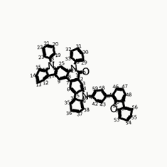 O=c1c2cc3c(cc2c2cc4c5ccccc5n(-c5ccccc5)c4cc2n1-c1ccccc1)c1ccccc1n3-c1ccc(-c2cccc3c2oc2ccccc23)cc1